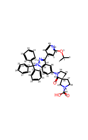 CC(C)Oc1cc(-c2nn(C(c3ccccc3)(c3ccccc3)c3ccccc3)c3ccc(N4CC[C@]5(CCN(C(=O)O)C5)C4=O)cc23)ccn1